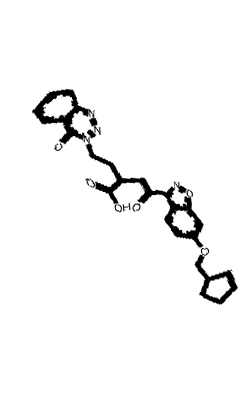 O=C(CC(CCn1nnc2ccccc2c1=O)C(=O)O)c1noc2cc(OCC3CCCC3)ccc12